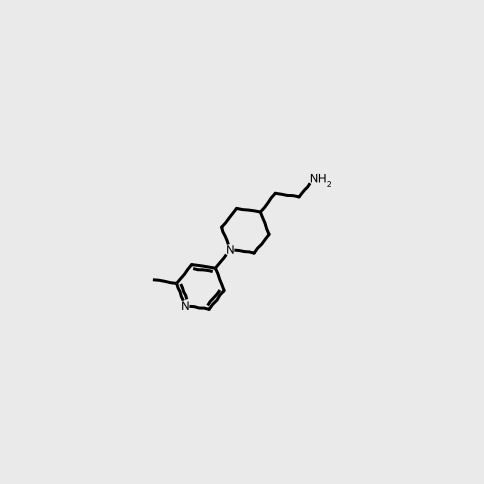 Cc1cc(N2CCC(CCN)CC2)ccn1